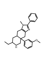 CCC1CC2Cc3c(nc(-c4ccccc4)n3C)CC2(c2cccc(OC)c2)CN1